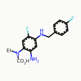 CCN(C(=O)O)c1cc(F)c(NCc2ccc(F)cc2)cc1N